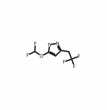 FC(F)OC1=CC(CC(F)(F)F)=N[N]1